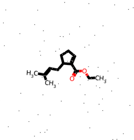 CCOC(=O)C1=CCCC1CC=C(C)C